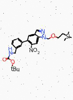 CC(C)(C)OC(=O)NCc1cccc(-c2cc3cnn(COCC[Si](C)(C)C)c3cc2[N+](=O)[O-])c1